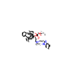 COCC(=O)O[C@@]1(CCN(C)CCCc2nc3ccccc3[nH]2)C[C@H]2CCC[C@@H]1c1ccccc12